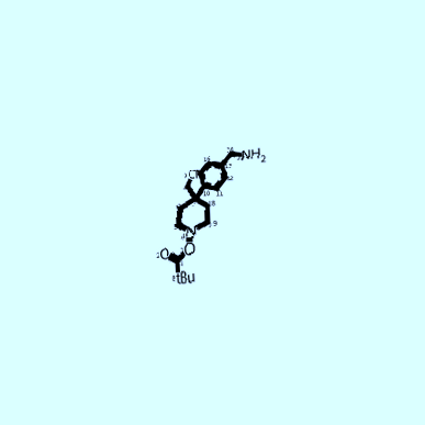 CC(C)(C)C(=O)ON1CCC(CC#N)(c2ccc(CN)cc2)CC1